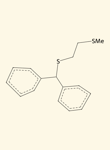 CSCCSC(c1ccccc1)c1ccccc1